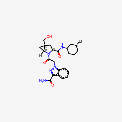 CC[C@H]1CCCC(NC(=O)[C@@H]2C[C@@]3(CO)C[C@H]3N2C(=O)Cn2nc(C(N)=O)c3ccccc32)C1